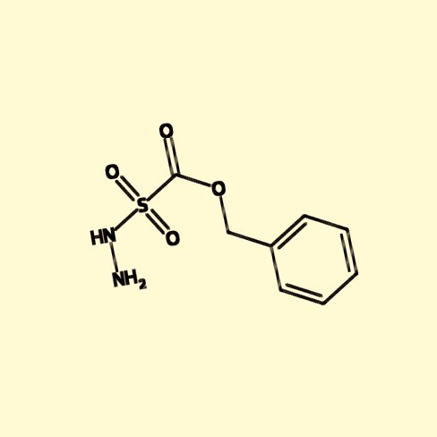 NNS(=O)(=O)C(=O)OCc1ccccc1